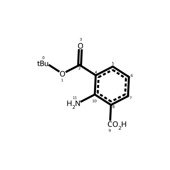 CC(C)(C)OC(=O)c1cccc(C(=O)O)c1N